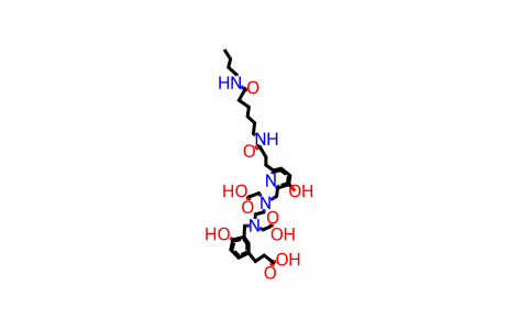 CCCCNC(=O)CCCCCNC(=O)CCc1ccc(O)c(CN(CCN(CC(=O)O)Cc2cc(CCC(=O)O)ccc2O)CC(=O)O)n1